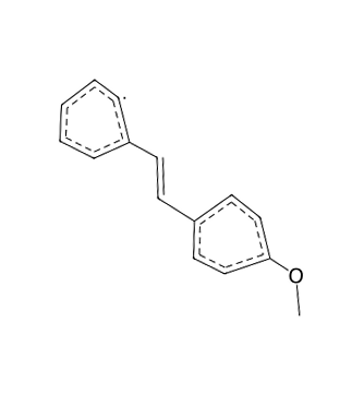 COc1ccc(C=Cc2[c]cccc2)cc1